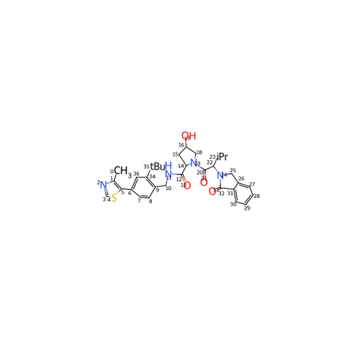 Cc1ncsc1-c1ccc(CNC(=O)C2CC(O)CN2C(=O)C(C(C)C)N2Cc3ccccc3C2=O)c(C(C)(C)C)c1